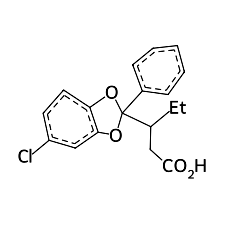 CCC(CC(=O)O)C1(c2ccccc2)Oc2ccc(Cl)cc2O1